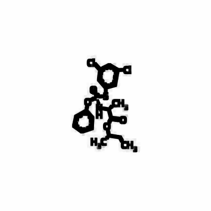 CC[C@@H](C)OC(=O)[C@H](C)N[P@](=O)(Oc1ccccc1)Sc1cc(Cl)cc(Cl)c1